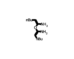 CCCCC=C(N)OC(N)=CCCCC